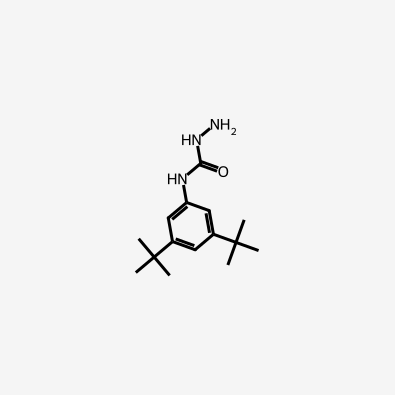 CC(C)(C)c1cc(NC(=O)NN)cc(C(C)(C)C)c1